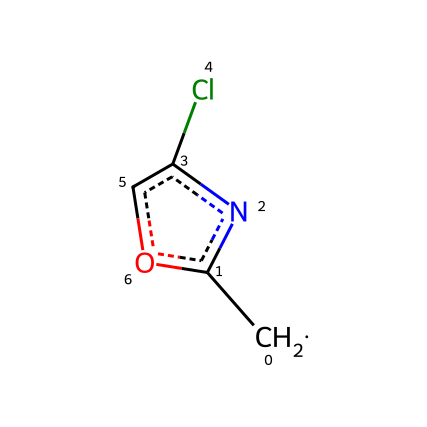 [CH2]c1nc(Cl)co1